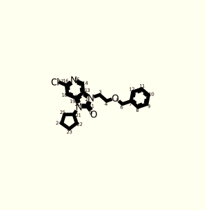 O=c1n(CCOCc2ccccc2)c2cnc(Cl)cc2n1C1CCCC1